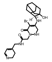 O=C(CN1NCC(N[C@H]2C3CC4CC(C3)CC2(O)C4)=C(Br)C1=O)NCC1=CC=NCC1